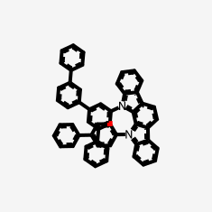 c1ccc(-c2ccc(-n3c4ccccc4c4ccc5c6ccccc6n(-c6cc(-c7ccccc7)cc(-c7cccc(-c8ccccc8)c7)c6)c5c43)cc2)cc1